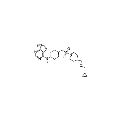 CN(c1ncnc2[nH]ccc12)C1CCC(CS(=O)(=O)N2CCC(COCC3CC3)CC2)CC1